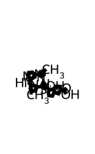 Cc1cc(Nc2cc(-n3cc(C)cn3)ccn2)nc(-c2cnc([C@]3(O)CCCc4cc(C(=O)O)ccc43)s2)c1